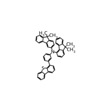 CC1(C)c2ccccc2-c2cc(N(c3cccc(-c4cccc5c4sc4ccccc45)c3)c3cccc4c3-c3ccccc3C4(C)C)ccc21